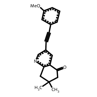 COc1cccc(C#Cc2cnc3c(c2)C(=O)CC(C)(C)C3)c1